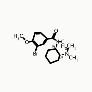 COc1ccc(C(=O)N(C)[C@@H]2CCCC[C@H]2N(C)C)cc1Br